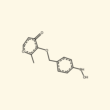 Cc1occc(=O)c1OCc1ccc(BO)cc1